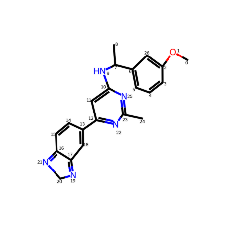 COc1cccc(C(C)Nc2cc(-c3ccc4c(c3)=NCN=4)nc(C)n2)c1